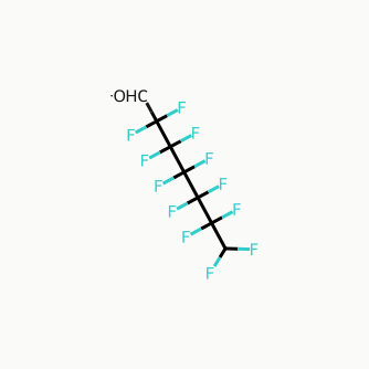 O=[C]C(F)(F)C(F)(F)C(F)(F)C(F)(F)C(F)(F)C(F)F